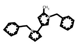 Cc1cc(-c2cccn2Cc2ccccc2)cn1Cc1ccccc1